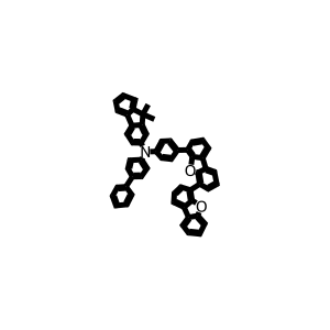 CC1(C)c2ccccc2-c2ccc(N(c3ccc(-c4ccccc4)cc3)c3ccc(-c4cccc5c4oc4c(-c6cccc7c6oc6ccccc67)cccc45)cc3)cc21